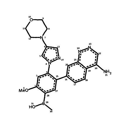 COc1cc(-n2cc(N3CCOCC3)cn2)c(-c2ccc3c(N)cnnc3c2)cc1B(C)O